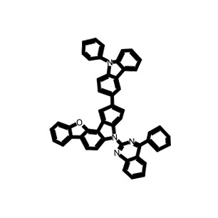 c1ccc(-c2nc(-n3c4ccc(-c5ccc6c(c5)c5ccccc5n6-c5ccccc5)cc4c4c5oc6ccccc6c5ccc43)nc3ccccc23)cc1